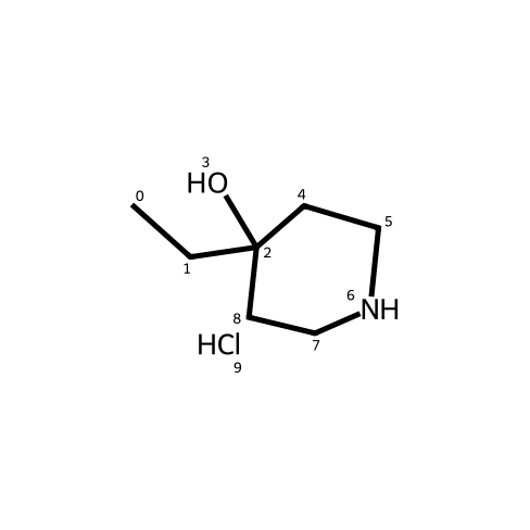 CCC1(O)CCNCC1.Cl